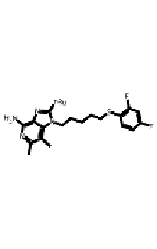 CCCCc1nc2c(N)nc(C)c(C)c2n1CCCCCSc1ccc(F)cc1F